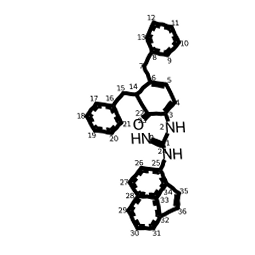 N=C(NC1=CC=C(Cc2ccccc2)C(Cc2ccccc2)C1=O)Nc1ccc2cccc3c2c1C=C3